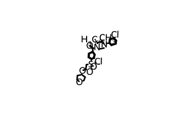 C[C@H]1[C@H](C)N(c2cccc(Cl)c2)CCN1C(=O)c1ccc([S+]([O-])CC(=O)OC2CCOCC2)c(Cl)c1